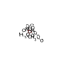 CC1(C)c2ccccc2-c2c(N(c3ccc(-c4ccc(-c5ccccc5)cc4)cc3)c3ccc4cccc5c4c3Oc3c-5cccc3N(c3ccccc3)c3ccccc3)cccc21